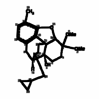 COC1(OC)CC[C@@]2(O)[C@H]3Cc4ccc(C)c5c4[C@@]2(CCN3CC2CC2)C1O5